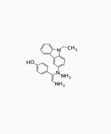 CCn1c2ccccc2c2cc(N(N)/C(=C\N)c3ccc(O)cc3)ccc21